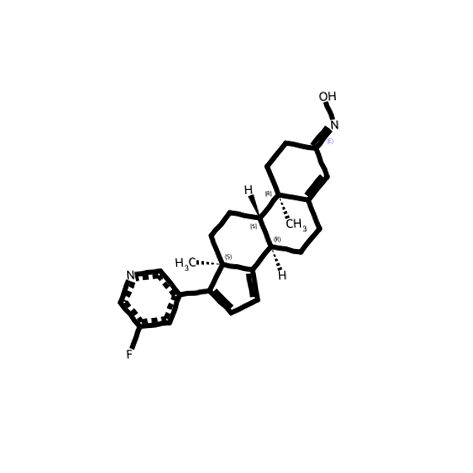 C[C@]12CC[C@H]3[C@@H](CCC4=C/C(=N/O)CC[C@@]43C)C1=CC=C2c1cncc(F)c1